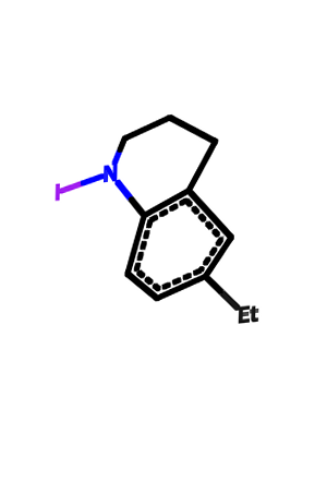 CCc1ccc2c(c1)CCCN2I